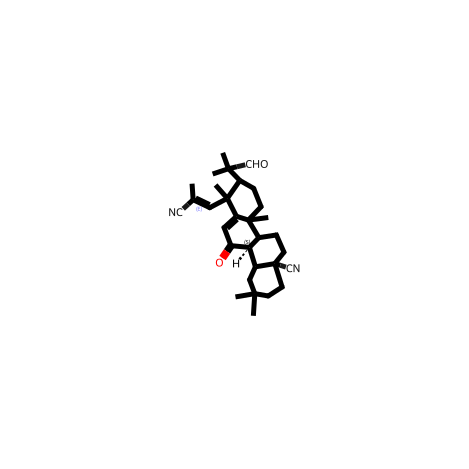 C/C(C#N)=C\C1(C)C2=CC(=O)[C@@H]3C4CC(C)(C)CCC4(C#N)CCC3C2(C)CCC1C(C)(C)C=O